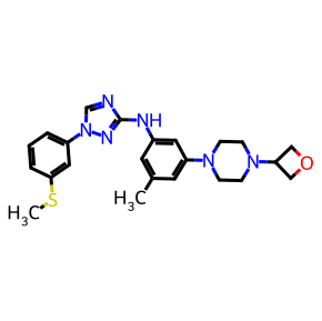 CSc1cccc(-n2cnc(Nc3cc(C)cc(N4CCN(C5COC5)CC4)c3)n2)c1